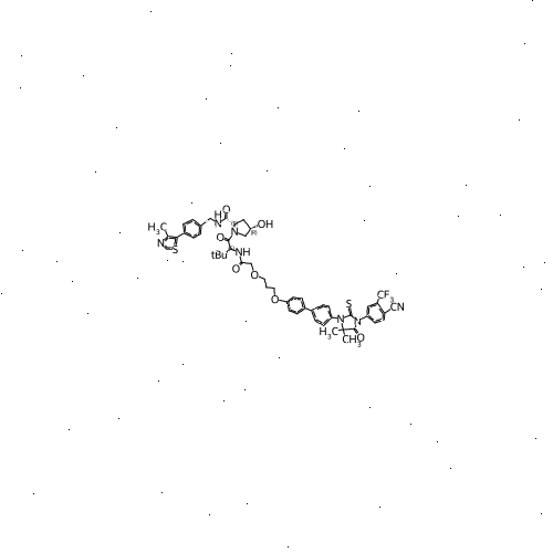 Cc1ncsc1-c1ccc(CNC(=O)[C@@H]2C[C@@H](O)CN2C(=O)[C@@H](NC(=O)COCCCOc2ccc(-c3ccc(N4C(=S)N(c5ccc(C#N)c(C(F)(F)F)c5)C(=O)C4(C)C)cc3)cc2)C(C)(C)C)cc1